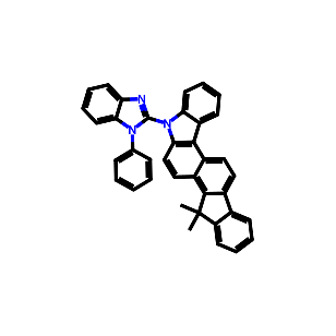 CC1(C)c2ccccc2-c2ccc3c(ccc4c3c3ccccc3n4-c3nc4ccccc4n3-c3ccccc3)c21